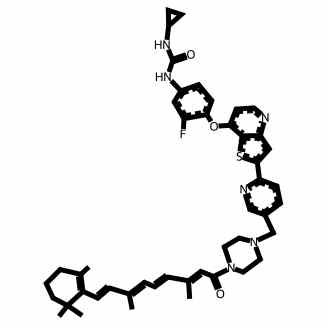 CC1=C(/C=C/C(C)=C/C=C/C(C)=C/C(=O)N2CCN(Cc3ccc(-c4cc5nccc(Oc6ccc(NC(=O)NC7CC7)cc6F)c5s4)nc3)CC2)C(C)(C)CCC1